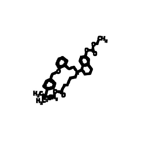 CCOC(=O)CCCCN(CCc1ccccc1OCc1ccc(C(C)(C)C)cc1)C1CCCc2cc(OC(=O)OCC)ccc21